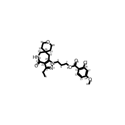 CCc1nn(CCCOC(=O)c2ccc(OC)cc2Cl)c2c1C(=O)NCC1(CCOCC1)C2